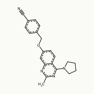 Cc1nc(N2CCCC2)c2ccc(OCc3ccc(C#N)cc3)cc2n1